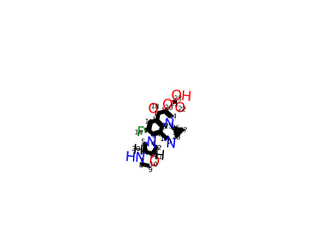 N#Cc1c(N2C[C@H]3NCCO[C@@H]3C2)c(F)cc2c(=O)c(OC(=O)O)cn(C3CC3)c12